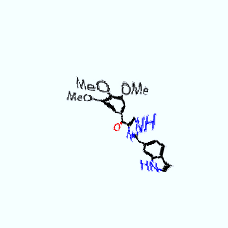 COc1cc(C(=O)c2c[nH]c(-c3ccc4cc[nH]c4c3)n2)cc(OC)c1OC